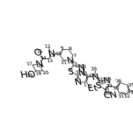 CCc1nc2sc(N3CCC[C@H](N(C)CC(=O)N4CC(O)C4)C3)nn2c1N(C)c1nc(-c2ccc(F)cc2)c(C#N)s1